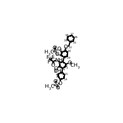 COc1cc(-c2ccc(OS(C)(=O)=O)cc2)c(OC)c(NC(=O)C(F)(F)F)c1-c1ccc(OCc2ccccc2)c(OS(C)(=O)=O)c1